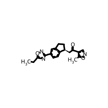 CCc1nc(-c2ccc3c(c2)CC[C@H]3CC(=O)c2cnoc2C)no1